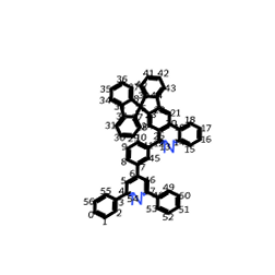 c1ccc(-c2cc(-c3cccc(-c4nc5ccccc5c5cc6c(cc45)C4(c5ccccc5-c5ccccc54)c4ccccc4-6)c3)cc(-c3ccccc3)n2)cc1